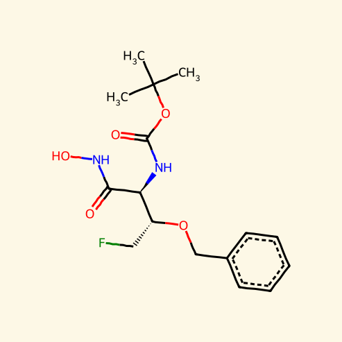 CC(C)(C)OC(=O)N[C@H](C(=O)NO)[C@@H](CF)OCc1ccccc1